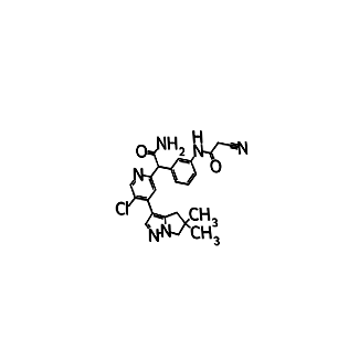 CC1(C)Cc2c(-c3cc(C(C(N)=O)c4cccc(NC(=O)CC#N)c4)ncc3Cl)cnn2C1